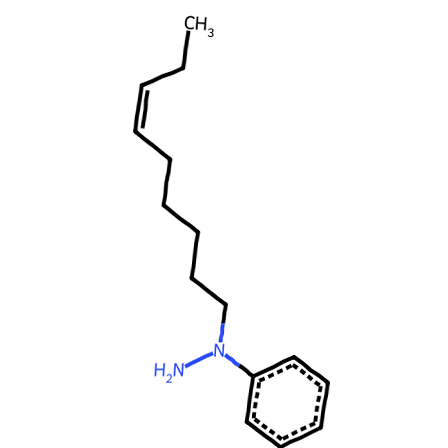 CC/C=C\CCCCCN(N)c1ccccc1